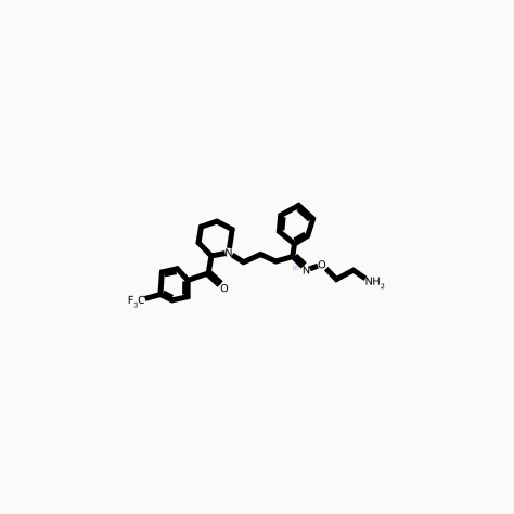 NCCO/N=C(/CCCN1CCCCC1C(=O)c1ccc(C(F)(F)F)cc1)c1ccccc1